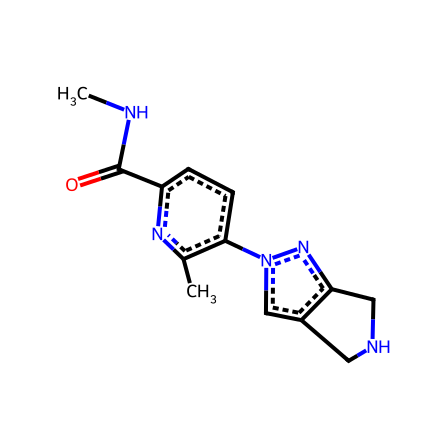 CNC(=O)c1ccc(-n2cc3c(n2)CNC3)c(C)n1